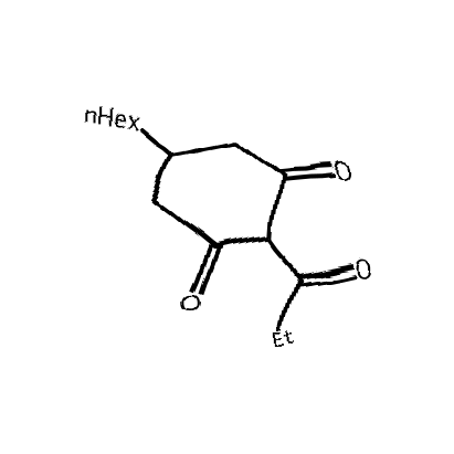 CCCCCCC1CC(=O)C(C(=O)CC)C(=O)C1